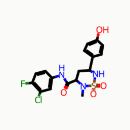 CN1C(C(=O)Nc2ccc(F)c(Cl)c2)CC(c2ccc(O)cc2)NS1(=O)=O